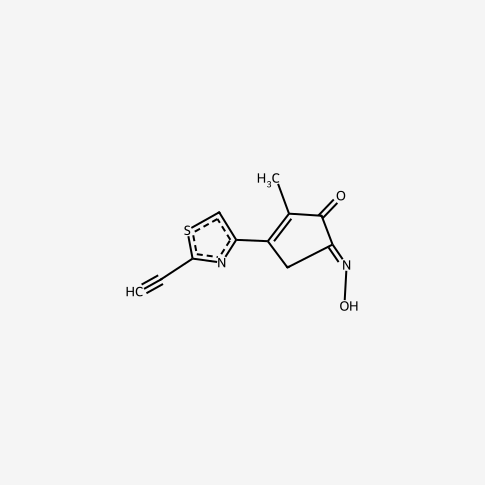 C#Cc1nc(C2=C(C)C(=O)/C(=N/O)C2)cs1